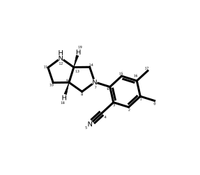 Cc1cc(C#N)c(N2C[C@@H]3CCN[C@@H]3C2)cc1C